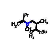 C=C(C(C)C)N(C)CC(C)C(C)CCCC